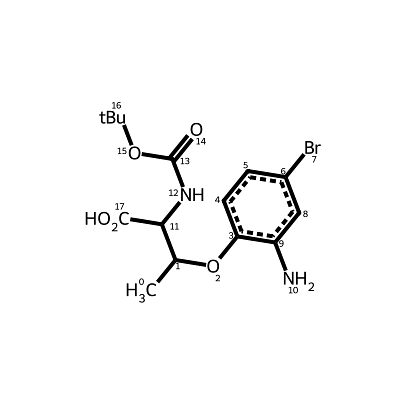 CC(Oc1ccc(Br)cc1N)C(NC(=O)OC(C)(C)C)C(=O)O